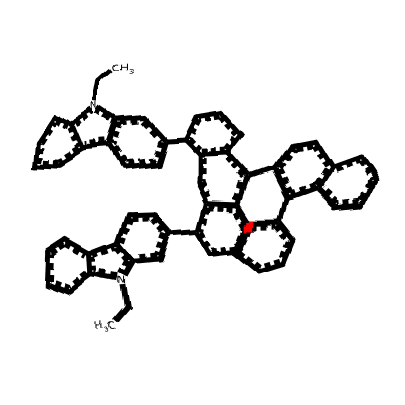 CCn1c2ccccc2c2ccc(-c3cccc4c(-c5ccc6ccccc6c5-c5ccccc5)c5cccc(-c6ccc7c8ccccc8n(CC)c7c6)c5cc34)cc21